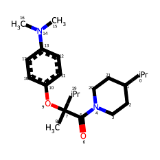 CC(C)C1CCN(C(=O)C(C)(Oc2ccc(N(C)C)cc2)C(C)C)CC1